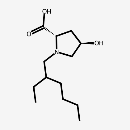 CCCCC(CC)CN1C[C@H](O)C[C@H]1C(=O)O